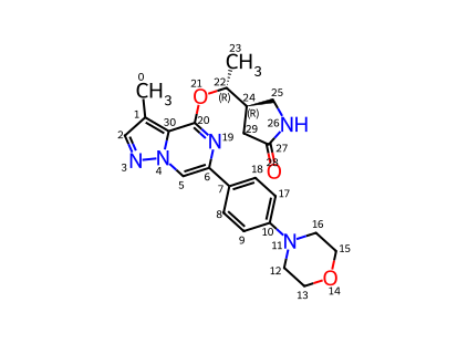 Cc1cnn2cc(-c3ccc(N4CCOCC4)cc3)nc(O[C@H](C)[C@H]3CNC(=O)C3)c12